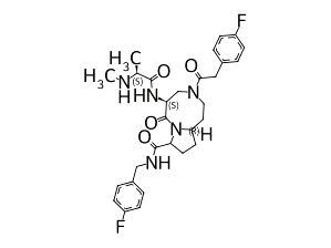 CN[C@@H](C)C(=O)N[C@H]1CN(C(=O)Cc2ccc(F)cc2)CC[C@H]2CCC(C(=O)NCc3ccc(F)cc3)N2C1=O